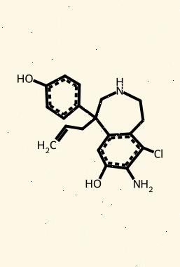 C=CCC1(c2ccc(O)cc2)CNCCc2c1cc(O)c(N)c2Cl